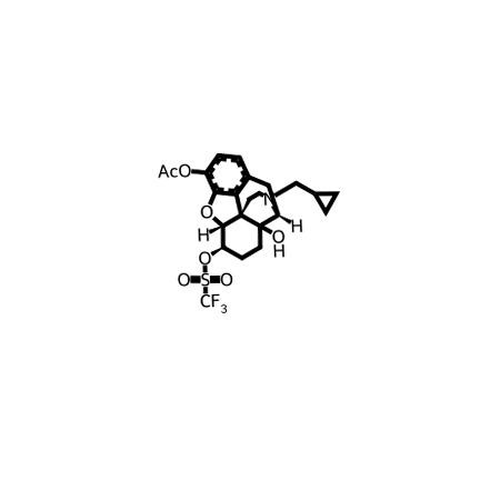 CC(=O)Oc1ccc2c3c1O[C@H]1[C@H](OS(=O)(=O)C(F)(F)F)CCC4(O)[C@@H](C2)N(CC2CC2)CC[C@]314